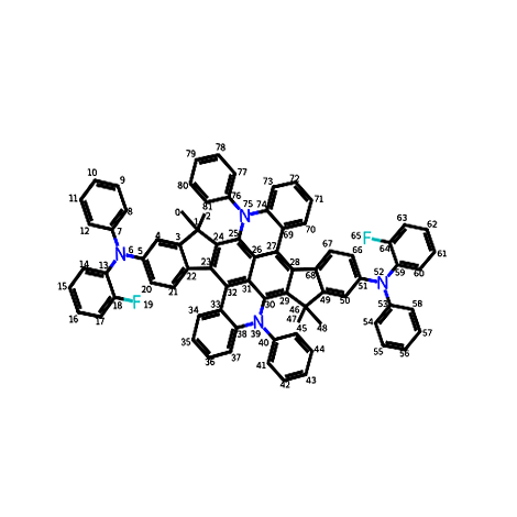 CC1(C)c2cc(N(c3ccccc3)c3ccccc3F)ccc2-c2c1c1c3c(c4c(c5c3c2-c2ccccc2N5c2ccccc2)C(C)(C)c2cc(N(c3ccccc3)c3ccccc3F)ccc2-4)-c2ccccc2N1c1ccccc1